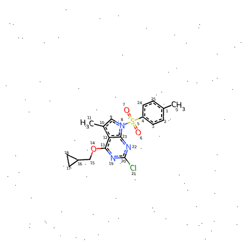 Cc1ccc(S(=O)(=O)n2cc(C)c3c(OCC4CC4)nc(Cl)nc32)cc1